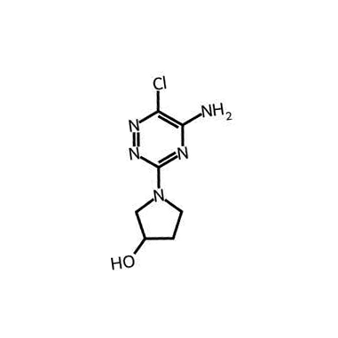 Nc1nc(N2CCC(O)C2)nnc1Cl